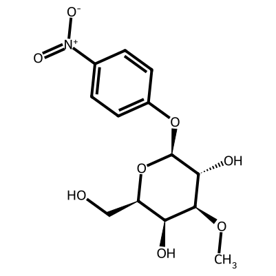 CO[C@H]1[C@@H](O)[C@@H](CO)O[C@@H](Oc2ccc([N+](=O)[O-])cc2)[C@@H]1O